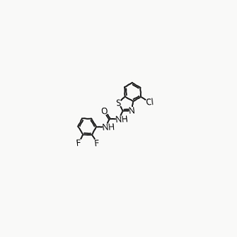 O=C(Nc1nc2c(Cl)cccc2s1)Nc1cccc(F)c1F